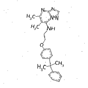 Cc1nc2ncnn2c(NCCOc2ccc(C(C)(C)c3ccccc3)cc2)c1C